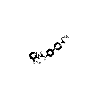 COc1cccnc1NC(=O)Nc1ccc(N2CCN(C(=O)OC(C)(C)C)CC2)cc1